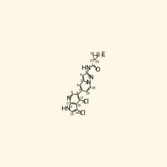 O=C(Nc1cc2cc(-c3cnc4[nH]cc(Cl)c4c3Cl)ccn2n1)[C@@H]1C[C@@H]1F